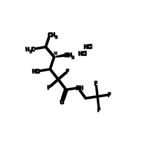 CC(C)[C@H](N)C(O)C(F)(F)C(=O)NCC(F)(F)F.Cl.Cl